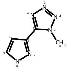 Cn1nnnc1C1=N[N]C=C1